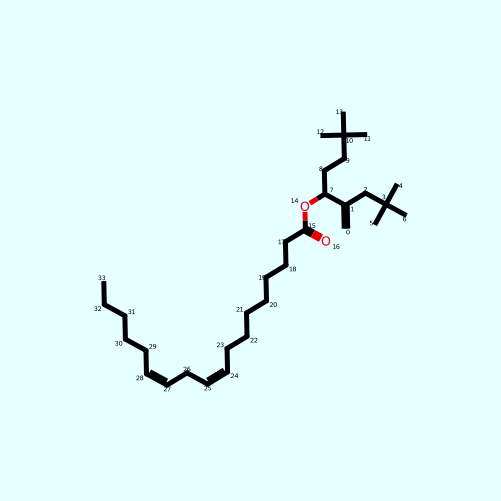 C=C(CC(C)(C)C)C(CCC(C)(C)C)OC(=O)CCCCCCC/C=C\C/C=C\CCCCC